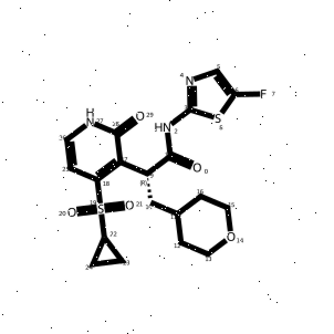 O=C(Nc1ncc(F)s1)[C@H](CC1CCOCC1)c1c(S(=O)(=O)C2CC2)cc[nH]c1=O